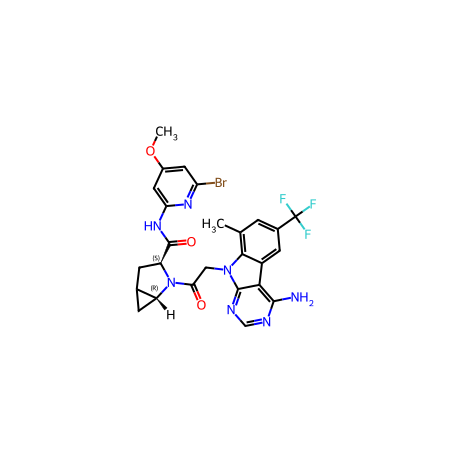 COc1cc(Br)nc(NC(=O)[C@@H]2CC3C[C@H]3N2C(=O)Cn2c3ncnc(N)c3c3cc(C(F)(F)F)cc(C)c32)c1